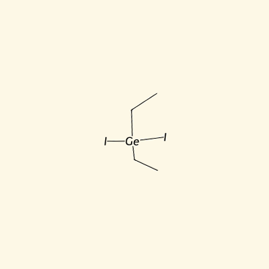 C[CH2][Ge]([I])([I])[CH2]C